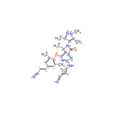 Cc1cc(/C=C/C#N)cc(C)c1Oc1nc(NC23CC(C#N)(C2)C3)nc2c1C(C)N(c1c(C)nn(C)c1C)C2=O